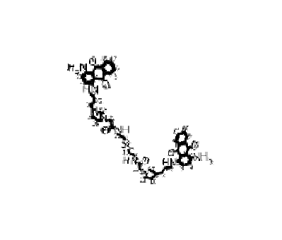 Nc1ccc(NCCCC2C=C[N+](CC(=O)NCCSSCCNC(=O)C[n+]3ccn(CCCNc4ccc(N)c5c4C(=O)c4ccccc4C5=O)c3)=C2)c2c1C(=O)c1ccccc1C2=O